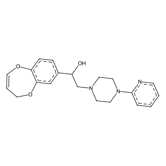 OC(CN1CCN(c2ccccn2)CC1)c1ccc2c(c1)OCC=CO2